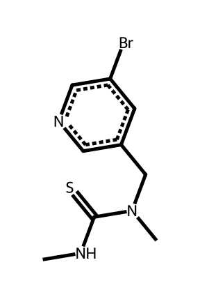 CNC(=S)N(C)Cc1cncc(Br)c1